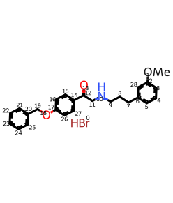 Br.COc1cccc(CCCNCC(=O)c2ccc(OCc3ccccc3)cc2)c1